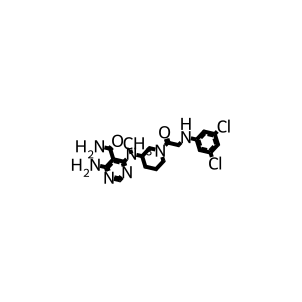 CN(c1ncnc(N)c1C(N)=O)C1CCCN(C(=O)CNc2cc(Cl)cc(Cl)c2)C1